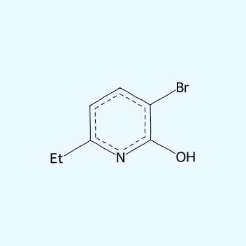 CCc1ccc(Br)c(O)n1